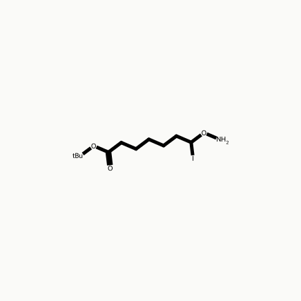 CC(C)(C)OC(=O)CCCCCC(I)ON